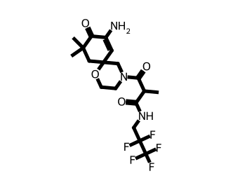 CC(C(=O)NCC(F)(F)C(F)(F)F)C(=O)N1CCOC2(C=C(N)C(=O)C(C)(C)C2)C1